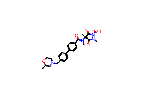 CNC(=O)[C@@](C)(C(=O)NO)N(C)C(=O)c1ccc(-c2ccc(CN3CCOC(C)C3)cc2)cc1